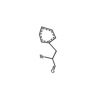 O=CC(Br)Cc1ccccc1